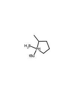 B[PH]1(C(C)(C)C)CCCC1C